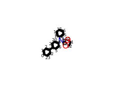 c1ccc(-c2ccc(N(B3OCCO3)c3ccccc3)cc2)cc1